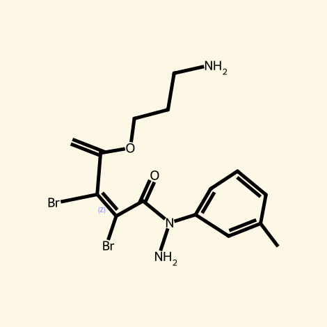 C=C(OCCCN)/C(Br)=C(/Br)C(=O)N(N)c1cccc(C)c1